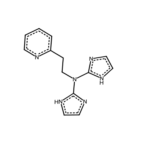 c1ccc(CCN(c2ncc[nH]2)c2ncc[nH]2)nc1